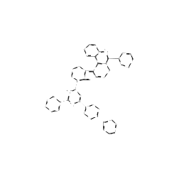 c1ccc(-c2ccc(-c3cc(-c4cccc5c4oc4ccc6c(-c7ccccc7)nc7ccccc7c6c45)nc(-c4ccccc4)n3)cc2)cc1